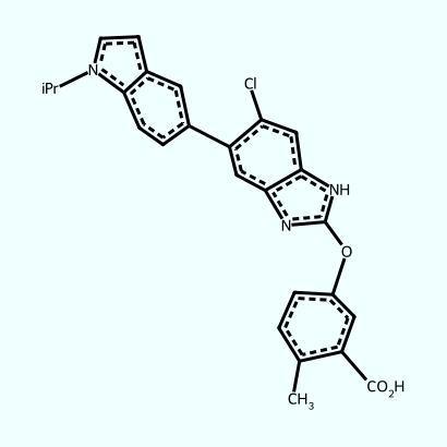 Cc1ccc(Oc2nc3cc(-c4ccc5c(ccn5C(C)C)c4)c(Cl)cc3[nH]2)cc1C(=O)O